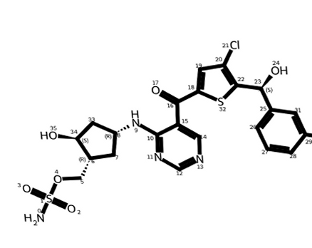 NS(=O)(=O)OC[C@H]1C[C@@H](Nc2ncncc2C(=O)c2cc(Cl)c([C@@H](O)c3cccc(Cl)c3)s2)C[C@@H]1O